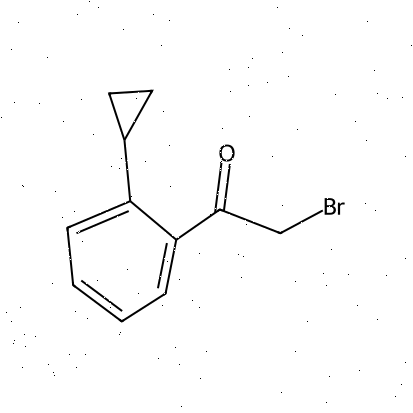 O=C(CBr)c1ccccc1C1CC1